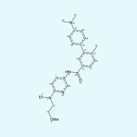 CCN(CCOC)c1ccc(NC(=O)c2ccc(C)c(-c3ccc(N(C)C)cc3)c2)cn1